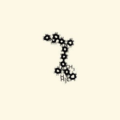 Cc1cc(C2=CC=CC=CC2(C)C)ccc1N(c1ccccc1)c1ccc(-c2ccc(-c3ccc(N(C4=CCCC=C4)c4ccc(-c5cccc6c5ccn6-c5ccccc5)cc4)cc3)cc2)cc1